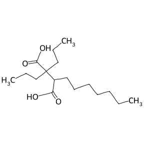 CCCCCCCC(C(=O)O)C(CCC)(CCC)C(=O)O